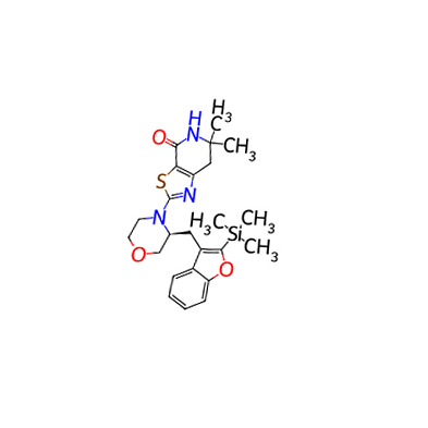 CC1(C)Cc2nc(N3CCOC[C@@H]3Cc3c([Si](C)(C)C)oc4ccccc34)sc2C(=O)N1